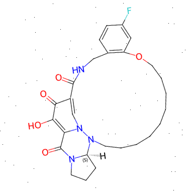 O=C1NCc2ccc(F)cc2OCCCCCCCCCN2[C@H]3CCCN3C(=O)c3c(O)c(=O)c1cn32